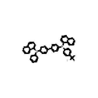 CCC(C)(C)c1ccc(N(c2ccc(C3=CCC(N(c4ccccc4)c4cccc5ccccc45)C=C3)cc2)c2cccc3ccccc23)cc1